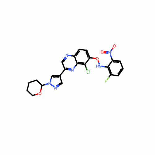 O=[N+]([O-])c1cccc(F)c1NOc1ccc2ncc(-c3cnn(C4CCCCO4)c3)nc2c1Cl